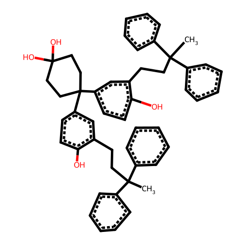 CC(CCc1cc(C2(c3ccc(O)c(CCC(C)(c4ccccc4)c4ccccc4)c3)CCC(O)(O)CC2)ccc1O)(c1ccccc1)c1ccccc1